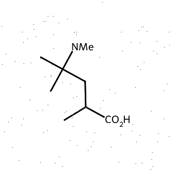 CNC(C)(C)CC(C)C(=O)O